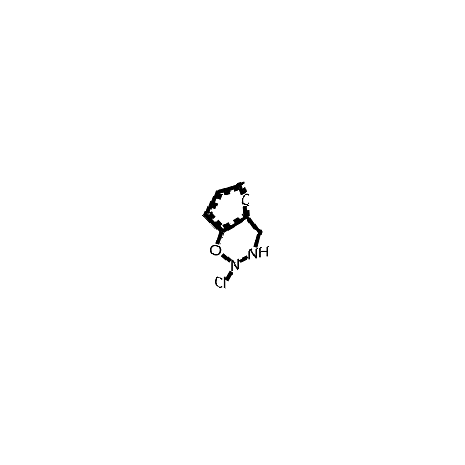 ClN1NCc2ccccc2O1